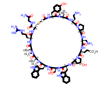 CCCC[C@H]1C(=O)N(C)[C@@H](CCCC)C(=O)N[C@@H](CCCNC(=N)N)C(=O)N[C@H](C(=O)NCC(N)=O)CSCC(=O)N[C@@H](Cc2ccc(O)cc2)C(=O)N(C)[C@@H](C)C(=O)N[C@@H](CCN)C(=O)N2CCC[C@H]2C(=O)N[C@@H](CN)C(=O)N[C@@H](CCC(=O)O)C(=O)N2C[C@H](O)C[C@H]2C(=O)N[C@@H](Cc2c[nH]c3ccccc23)C(=O)N[C@@H](CO)C(=O)N[C@@H](Cc2c[nH]c3ccccc23)C(=O)N1C